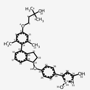 Cc1cc(OCCC(C)(C)O)cc(C)c1-c1cccc2c1CC[C@H]2Oc1ccc(-c2cc(O)n[s+]2[O-])cc1